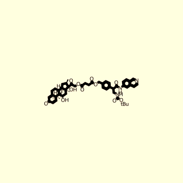 C[C@@H]1C[C@H]2[C@@H]3CCC4=CC(=O)C=C[C@]4(C)[C@@]3(F)[C@@H](O)C[C@]2(C)[C@@]1(O)C(=O)COC(=O)CCC(=O)OCc1ccc(C(CNC(=O)OC(C)(C)C)C(=O)Nc2ccc3cnccc3c2)cc1